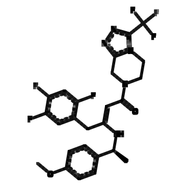 COc1ccc([C@H](C)N/C(=C\C(=O)N2CCn3c(nnc3C(F)(F)F)C2)Cc2cc(F)c(F)cc2F)cc1